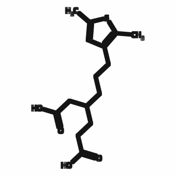 Cc1cc(CCCC(CCC(=O)O)CC(=O)O)c(C)s1